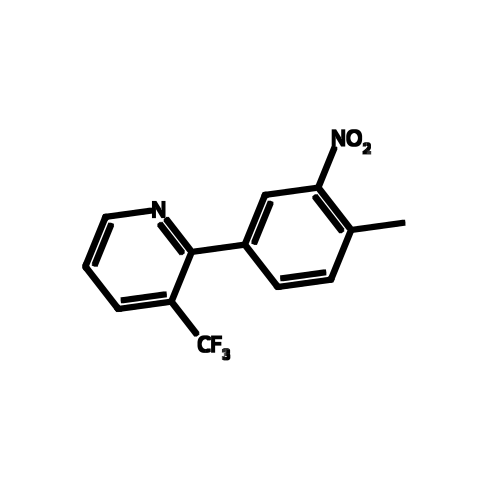 Cc1ccc(-c2ncccc2C(F)(F)F)cc1[N+](=O)[O-]